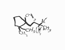 CC(=O)C(C)(C)CCC1(C)CCCC1(C)C